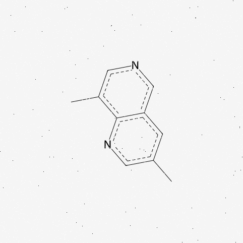 Cc1cnc2c(C)cncc2c1